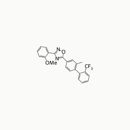 COc1ccccc1-c1noc(-c2ccc(-c3ccccc3C(F)(F)F)c(C)c2)n1